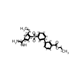 CCOC(=O)c1cccc(-c2cccc(S(=O)(=O)c3cc(C(=N)N)sc3SC)c2)c1